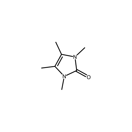 Cc1c(C)n(C)c(=O)n1C